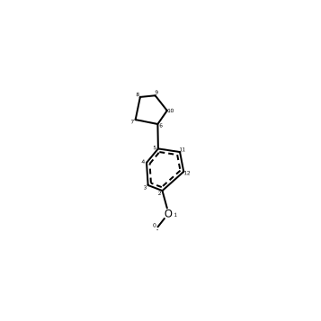 [CH2]Oc1ccc(C2CCCC2)cc1